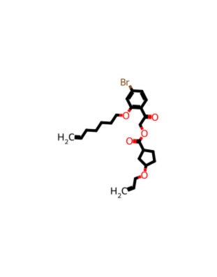 C=CCCCCCOc1cc(Br)ccc1C(=O)COC(=O)C1CCC(OCC=C)C1